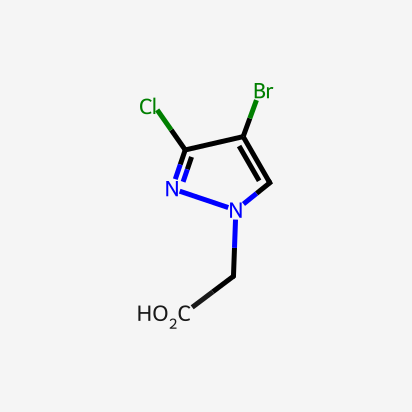 O=C(O)Cn1cc(Br)c(Cl)n1